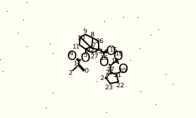 C=C(C)C(=O)OC12CC3CC(C1)CC(C(=O)OC1C(=O)OC4CCCC41)(C3)C2